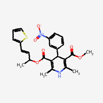 COC(=O)C1=C(C)NC(C)=C(C(=O)OC(C)C=Cc2cccs2)C1c1cccc([N+](=O)[O-])c1